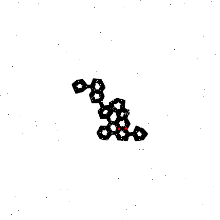 c1ccc(-c2ccc(-c3ccccc3N(c3ccc(-c4ccc5c(-c6ccccc6)cccc5c4)cc3)c3cccc4sc5ccccc5c34)cc2)cc1